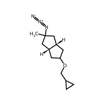 CC1(N=[N+]=[N-])C[C@H]2CC(OCC3CC3)C[C@H]2C1